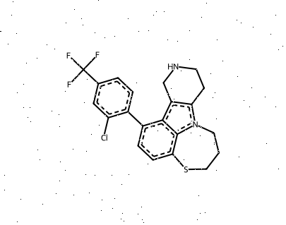 FC(F)(F)c1ccc(-c2ccc3c4c2c2c(n4CCCS3)CCNC2)c(Cl)c1